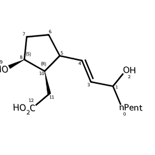 CCCCCC(O)C=CC1CC[C@H](O)[C@@H]1CC(=O)O